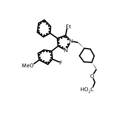 CCc1c(-c2ccccc2)c(-c2ccc(OC)cc2F)nn1C[C@H]1CC[C@@H](COCC(=O)O)CC1